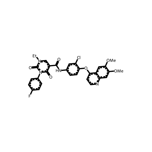 CCn1cc(C(=O)Nc2ccc(Oc3ccnc4cc(OC)c(OC)cc34)c(Cl)c2)c(=O)n(-c2ccc(F)cc2)c1=O